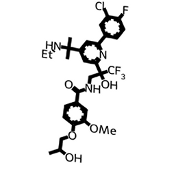 CCNC(C)(C)c1cc(-c2ccc(F)c(Cl)c2)nc(C(O)(CNC(=O)c2ccc(OCC(C)O)c(OC)c2)C(F)(F)F)c1